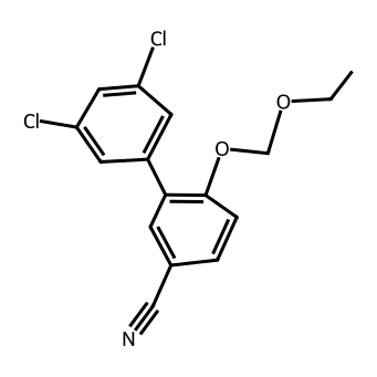 CCOCOc1ccc(C#N)cc1-c1cc(Cl)cc(Cl)c1